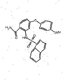 COc1ccc(Oc2ccc(C(N)=O)c(NS(=O)(=O)c3cccc4ccccc34)c2)cc1